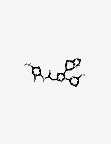 COc1ccc(NC(=O)Cc2cc(-c3ccc4ncnn4c3)n(-c3cccc(C)n3)n2)c(F)c1